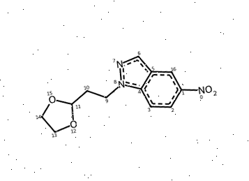 O=[N+]([O-])c1ccc2c(cnn2CCC2OCCO2)c1